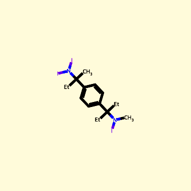 CCC(C)(c1ccc(C(CC)(CC)N(C)I)cc1)N(I)I